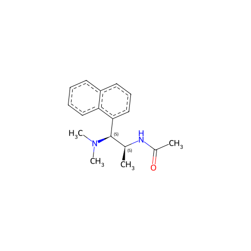 CC(=O)N[C@@H](C)[C@H](c1cccc2ccccc12)N(C)C